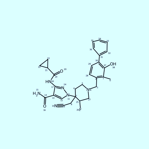 Cc1c(CN2CCC(CC#N)(n3cc(C(N)=O)c(NC(=O)C4CC4)n3)C(F)C2)ccc(-c2ccccc2)c1O